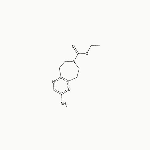 CCOC(=O)N1CCc2ncc(N)nc2CC1